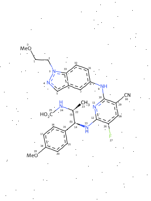 COCCn1ncc2cc(Nc3nc(N[C@@H](c4ccc(OC)cc4)[C@H](C)NC(=O)O)c(F)cc3C#N)ccc21